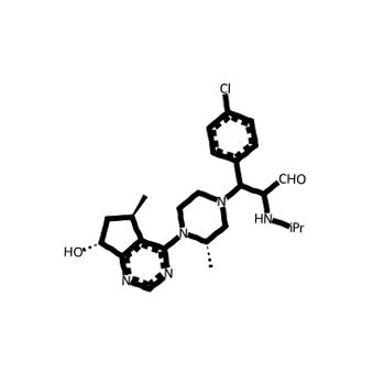 CC(C)NC(C=O)C(c1ccc(Cl)cc1)N1CCN(c2ncnc3c2[C@H](C)C[C@H]3O)[C@@H](C)C1